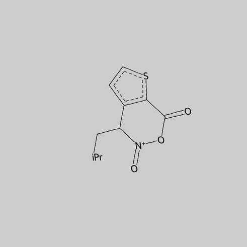 CC(C)CC1c2ccsc2C(=O)O[N+]1=O